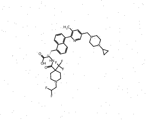 Cc1cc(CN2CCN(C3CC3)CC2)cnc1-c1cccc2c(C[C@H](NC(=O)C3(C(F)(F)F)CCN(CC(F)F)CC3)C(=O)O)cccc12